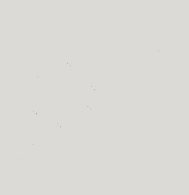 CNC1=C2C(C(F)(F)F)=NC(C(F)(F)F)=NC2N(C)N1c1c(Cl)cc(C(F)(F)F)cc1Cl